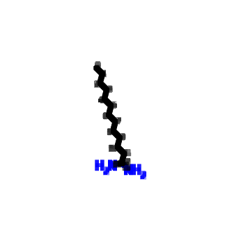 CCCCCCCCCCCCC(N)N